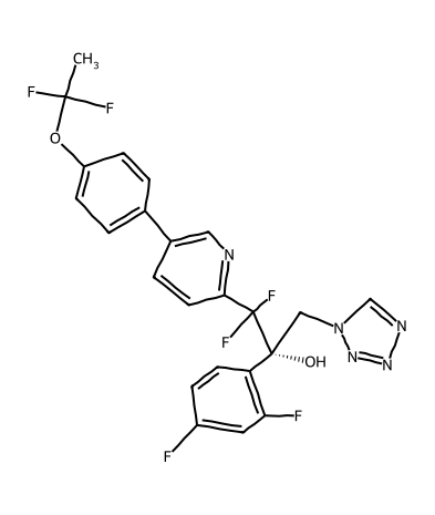 CC(F)(F)Oc1ccc(-c2ccc(C(F)(F)[C@@](O)(Cn3cnnn3)c3ccc(F)cc3F)nc2)cc1